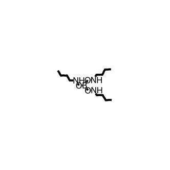 CCCCNOB(ONCCCC)ONCCCC